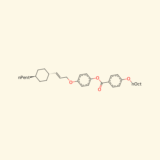 CCCCCCCCOc1ccc(C(=O)Oc2ccc(OCC=C[C@H]3CC[C@H](CCCCC)CC3)cc2)cc1